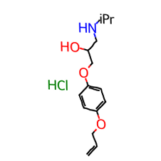 C=CCOc1ccc(OCC(O)CNC(C)C)cc1.Cl